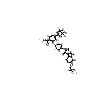 CC(C)(O)COc1ccc2c(C(=O)NC3CCC(Oc4cc(B5OC(C)(C)C(C)(C)O5)ccc4C(N)=O)CC3)cnn2c1